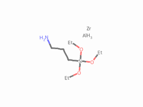 CCO[Si](CCCN)(OCC)OCC.[AlH3].[Zr]